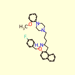 COc1ccccc1N1CCN(CCCC(N)Cc2c(OCc3ccc(F)cc3)ccc3ccccc23)CC1